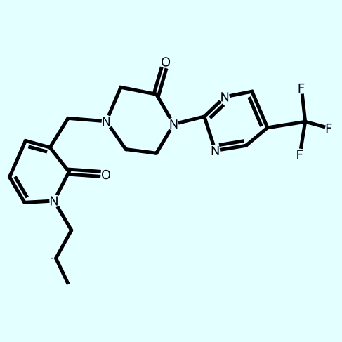 C[CH]Cn1cccc(CN2CCN(c3ncc(C(F)(F)F)cn3)C(=O)C2)c1=O